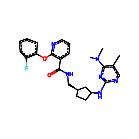 Cc1cnc(N[C@H]2CC[C@@H](CNC(=O)c3cccnc3Oc3ccccc3F)C2)nc1N(C)C